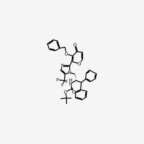 CC(C)(C)OC(=O)N[C@H](Cn1c(C(F)(F)F)cnc1-c1occc(=O)c1OCc1ccccc1)C(c1ccccc1)c1ccccc1